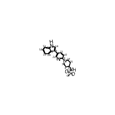 CS(=O)(=O)NC1CCN(c2ccc(-c3c[nH]c4ccccc34)cn2)CC1